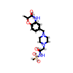 CC1Oc2ccc(CN3CCN(CC(=O)NS(C)(=O)=O)CC3)cc2NC1=O